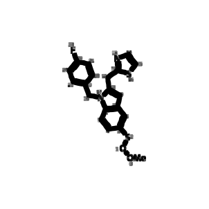 COOSc1ccc2c(c1)cc(Cc1nccs1)n2Cc1ccc(F)cc1